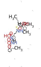 C=C(C)[C@@H]1CCC(C)=C[C@H]1c1c(O)cc(CCCCC)cc1OC(=S)NC/C=C/C1=C(C(=O)O)N2C(=O)[C@@H](NC(=O)COc3ccccc3CCC)[C@H]2CC1